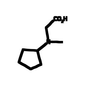 CN(CC(=O)O)C1CCCC1